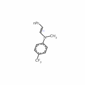 [CH2]CC/C=C/N(C)c1ccc(C(F)(F)F)cc1